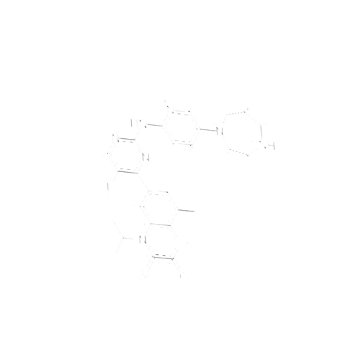 CC(C)n1c(=O)c(=O)sc2c(F)cc(-c3nc(Nc4ccc(N5CCCNCC5)cn4)ncc3F)cc21